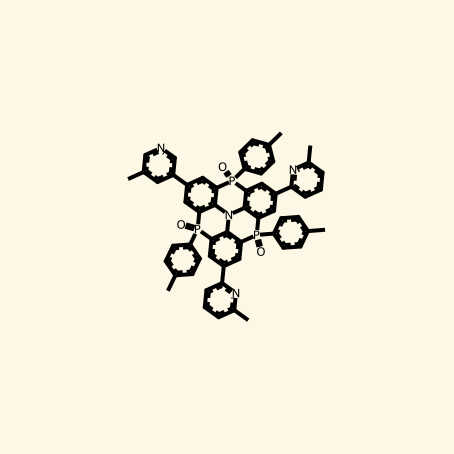 Cc1ccc(P2(=O)c3cc(-c4cncc(C)c4)cc4c3N3c5c2cc(-c2cccc(C)n2)cc5P(=O)(c2ccc(C)cc2)c2cc(-c5cccc(C)n5)cc(c23)P4(=O)c2ccc(C)cc2)cc1